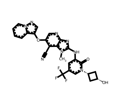 Cn1c(Nc2cc(C(F)(F)F)cn([C@H]3C[C@@H](O)C3)c2=O)nc2ncc(Oc3cnn4ccccc34)c(C#N)c21